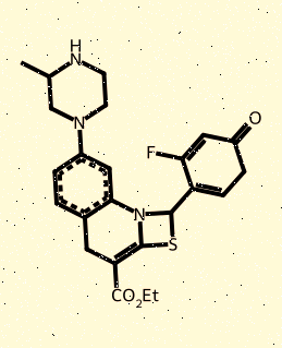 CCOC(=O)C1=C2SC(C3=CCC(=O)C=C3F)N2c2cc(N3CCNC(C)C3)ccc2C1